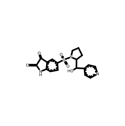 O=C1Nc2ccc(S(=O)(=O)N3CCCC3C(O)c3ccncc3)cc2C1=O